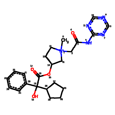 C[N+]1(CC(=O)Nc2ncncn2)CCC(OC(=O)C(O)(c2ccccc2)C2CCCC2)C1